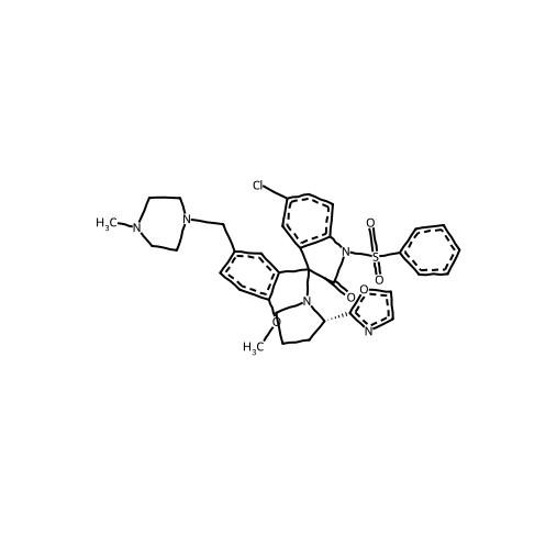 COc1ccc(CN2CCN(C)CC2)cc1C1(N2CCC[C@H]2c2ncco2)C(=O)N(S(=O)(=O)c2ccccc2)c2ccc(Cl)cc21